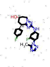 Cc1ncnn1-c1ccc(Nc2nc3n(n2)CC[C@@H](O)C[C@@H]3c2ccc(F)cc2)cc1F